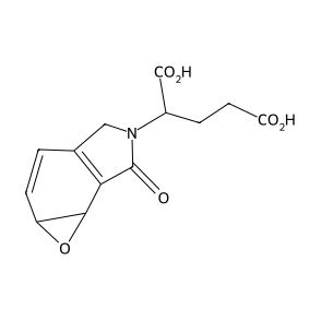 O=C(O)CCC(C(=O)O)N1CC2=C(C1=O)C1OC1C=C2